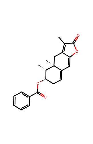 CC1=C2C[C@@]3(C)C(=CC[C@H](OC(=O)c4ccccc4)[C@@H]3C)C=C2OC1=O